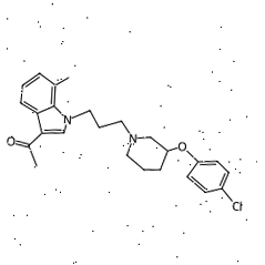 CC(=O)c1cn(CCCN2CCCC(Oc3ccc(Cl)cc3)C2)c2c(C)cccc12